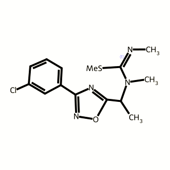 C/N=C(/SC)N(C)C(C)c1nc(-c2cccc(Cl)c2)no1